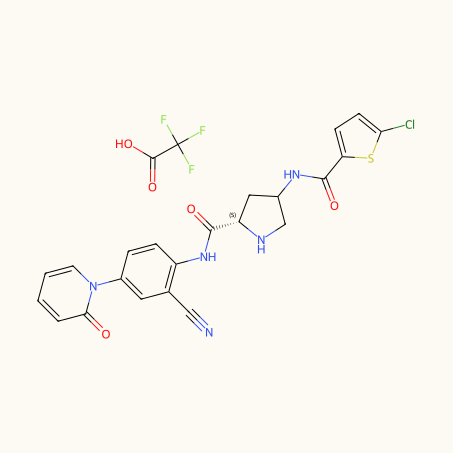 N#Cc1cc(-n2ccccc2=O)ccc1NC(=O)[C@@H]1CC(NC(=O)c2ccc(Cl)s2)CN1.O=C(O)C(F)(F)F